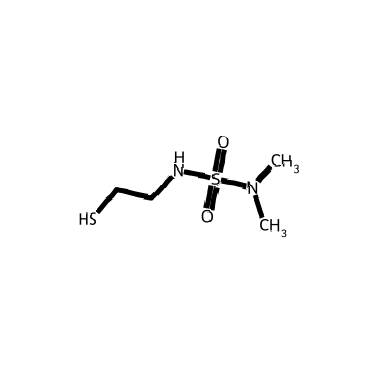 CN(C)S(=O)(=O)NCCS